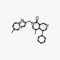 Cc1ccc2nc(Cn3cc(C)c4c(-c5ccccc5)cncc4c3=O)cn2c1